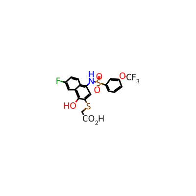 O=C(O)CSc1cc(NS(=O)(=O)c2cccc(OC(F)(F)F)c2)c2ccc(F)cc2c1O